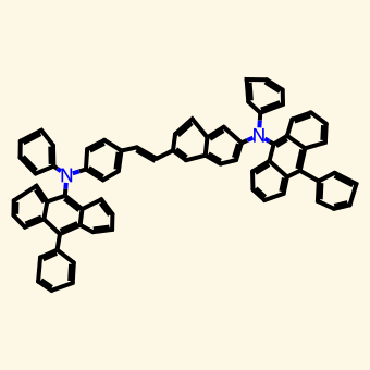 C(=C\c1ccc2cc(N(c3ccccc3)c3c4ccccc4c(-c4ccccc4)c4ccccc34)ccc2c1)/c1ccc(N(c2ccccc2)c2c3ccccc3c(-c3ccccc3)c3ccccc23)cc1